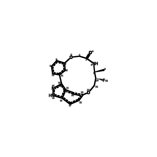 C[C@@H]1NC(=O)COc2cccc(c2)-c2n[nH]c3ccc(cc23)OC[C@H]1F